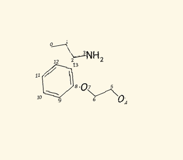 CCCN.[O]CC[O].c1ccccc1